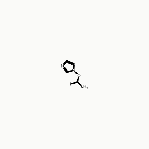 CC(I)On1ccnc1